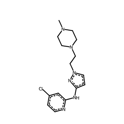 CN1CCN(CCn2ccc(Nc3cc(Cl)ccn3)n2)CC1